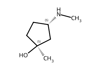 CN[C@H]1CC[C@](C)(O)C1